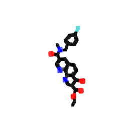 CCOC(=O)C1C=Nc2c(ccc3cc(C(=O)N(C)Cc4ccc(F)cc4)cnc23)C1=O